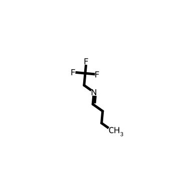 CCC/C=N/CC(F)(F)F